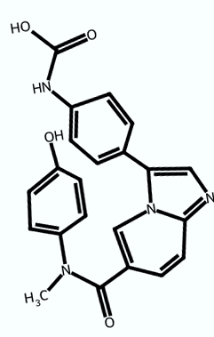 CN(C(=O)c1ccc2ncc(-c3ccc(NC(=O)O)cc3)n2c1)c1ccc(O)cc1